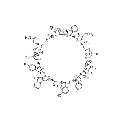 CCCC[C@H]1C(=O)N(C)CC(=O)N[C@@H](CC(=O)O)C(=O)N[C@@H](C(C)C)C(=O)N(C)[C@@H](Cc2ccccc2)C(=O)N[C@@H](Cc2ccc(O)cc2)C(=O)N(C)CC(=O)N[C@@H](Cc2c[nH]c3ccccc23)C(=O)N[C@@H](Cc2ccc(O)cc2)C(=O)N[C@@H](CC(C)C)C(=O)N[C@H](C(=O)NCC(N)=O)CSCC(=O)N[C@@H](C(C)CC)C(=O)N(C)[C@@H](Cc2ccccc2)C(=O)N1C